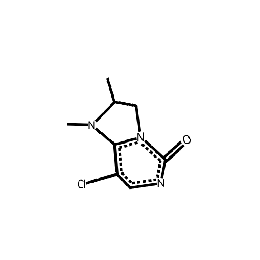 CC1Cn2c(c(Cl)cnc2=O)N1C